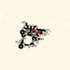 CC(C)=Cc1cccc(C2OCC3OC(OC4C(CO)OC(Oc5ccc(CC6NC(=O)C(C(C)c7ccccc7)NC(=O)CNC(=O)C(CO)NC(=O)C(C(O)C7CNC(=N)N7C7OC(CO)C(O)C(O)C7O)NC(=O)C(C(O)C7CNC(=N)N7)NC6=O)cc5)C(O)C4O)C(O)C(O)C3O2)c1